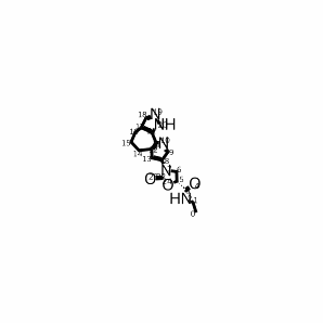 CCNC(=O)[C@H]1CN(c2cnc3c(c2)CCCc2cn[nH]c2-3)C(=O)O1